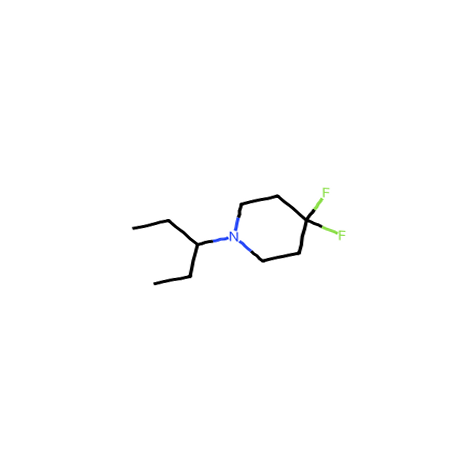 CCC(CC)N1CCC(F)(F)CC1